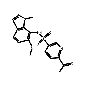 COc1ccc2cnn(C)c2c1NS(=O)(=O)c1ccc(C(C)=O)nc1